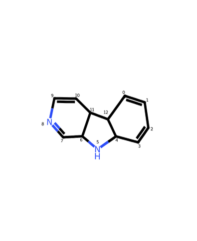 [C]1=CC=CC2NC3C=NC=CC3C12